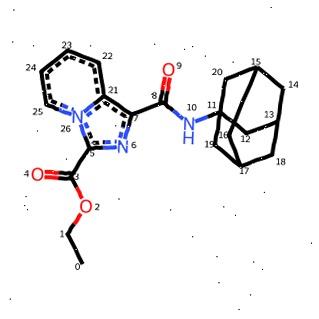 CCOC(=O)c1nc(C(=O)NC23CC4CC(CC(C4)C2)C3)c2ccccn12